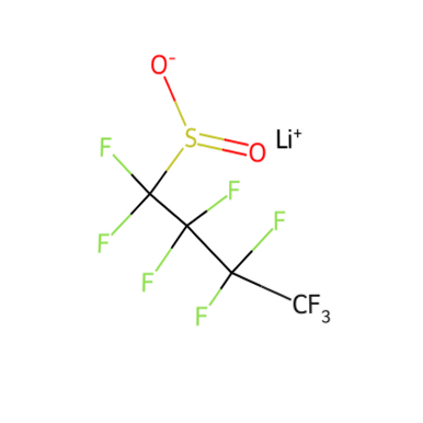 O=S([O-])C(F)(F)C(F)(F)C(F)(F)C(F)(F)F.[Li+]